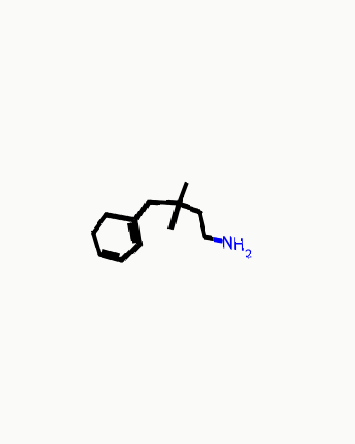 CC(C)(CCN)CC1=CC=CCC1